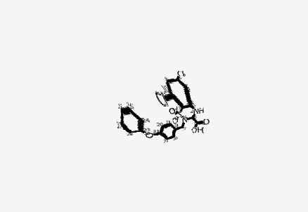 O=C(O)C1Nc2cc(Cl)cc(Cl)c2S(=O)(=O)N1Cc1ccc(Oc2ccccc2)cc1